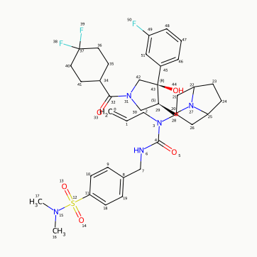 C=CCN(C(=O)NCc1ccc(S(=O)(=O)N(C)C)cc1)C1CC2CCC(C1)N2C[C@H]1CN(C(=O)C2CCC(F)(F)CC2)C[C@]1(O)c1cccc(F)c1